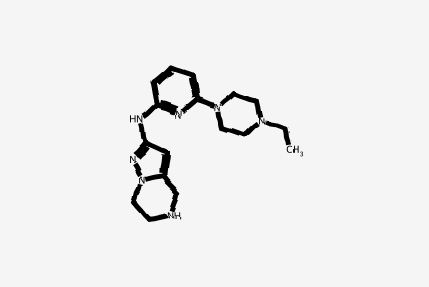 CCN1CCN(c2cccc(Nc3cc4n(n3)CCNC4)n2)CC1